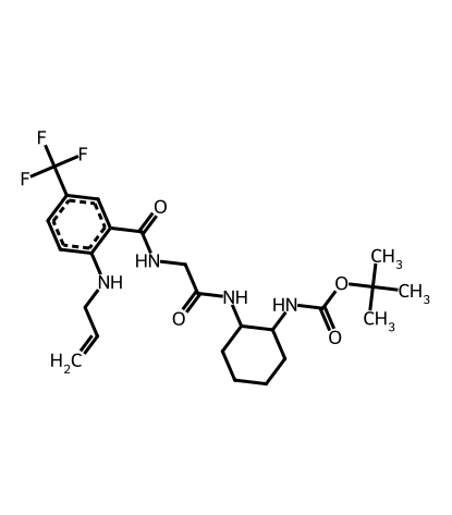 C=CCNc1ccc(C(F)(F)F)cc1C(=O)NCC(=O)NC1CCCCC1NC(=O)OC(C)(C)C